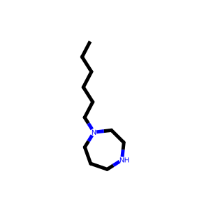 CCCCCCN1CCCNCC1